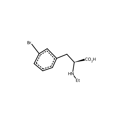 CCN[C@@H](Cc1cccc(Br)c1)C(=O)O